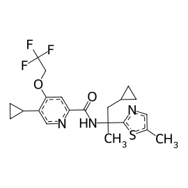 Cc1cnc(C(C)(CC2CC2)NC(=O)c2cc(OCC(F)(F)F)c(C3CC3)cn2)s1